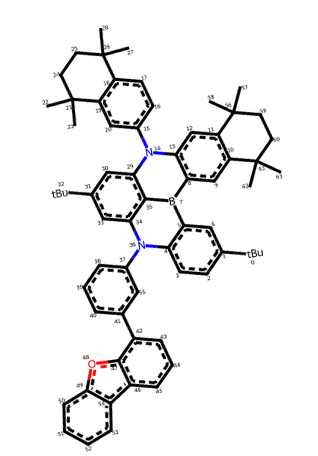 CC(C)(C)c1ccc2c(c1)B1c3cc4c(cc3N(c3ccc5c(c3)C(C)(C)CCC5(C)C)c3cc(C(C)(C)C)cc(c31)N2c1cccc(-c2cccc3c2oc2ccccc23)c1)C(C)(C)CCC4(C)C